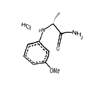 COc1cccc(N[C@H](C)C(N)=O)c1.Cl